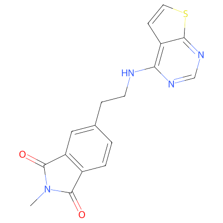 CN1C(=O)c2ccc(CCNc3ncnc4sccc34)cc2C1=O